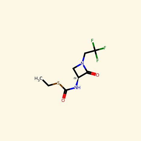 CCSC(=O)N[C@H]1CN(CC(F)(F)F)C1=O